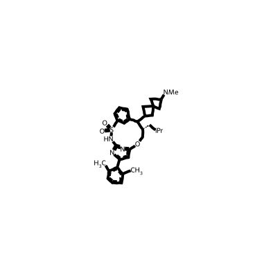 CNC1CC2(C1)CC(C1c3cccc(c3)S(=O)(=O)Nc3nc(cc(-c4c(C)cccc4C)n3)OC[C@H]1CC(C)C)C2